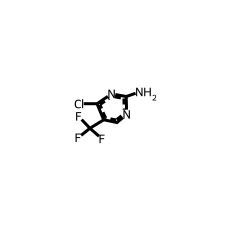 Nc1ncc(C(F)(F)F)c(Cl)n1